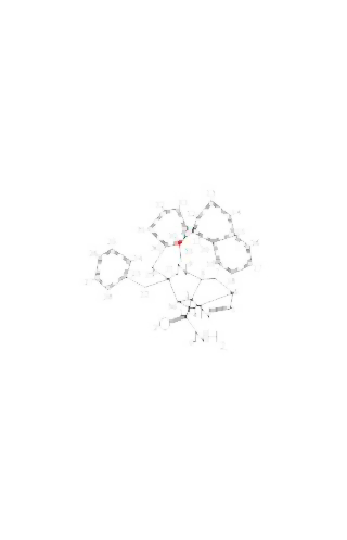 NC(=O)C12N=CC3CC1N(Cc1cccc4ccccc14)C(Cc1ccccc1)(Cc1ccccc1)C2C3